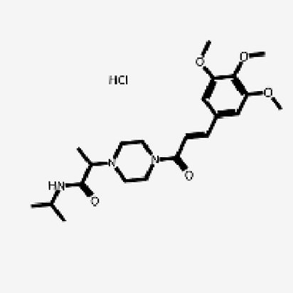 COc1cc(C=CC(=O)N2CCN(C(C)C(=O)NC(C)C)CC2)cc(OC)c1OC.Cl